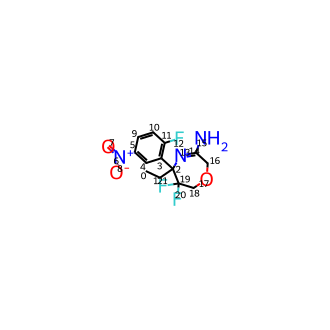 CCC1(c2cc([N+](=O)[O-])ccc2F)N=C(N)COCC1(F)F